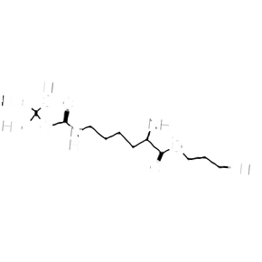 CCCCOC(=O)C(N)CCCCNC(=O)OC(C)(C)C